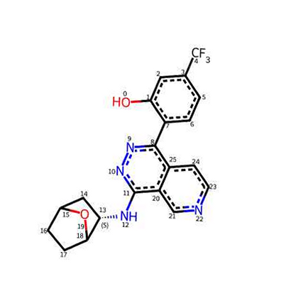 Oc1cc(C(F)(F)F)ccc1-c1nnc(N[C@H]2CC3CCC2O3)c2cnccc12